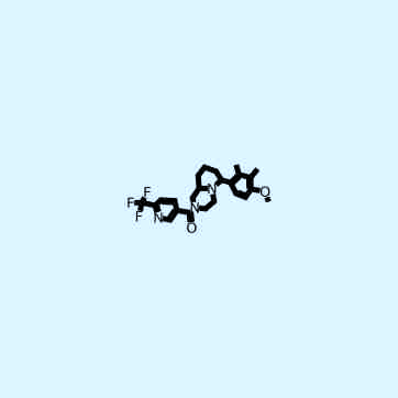 COc1ccc(C2CCCC3CN(C(=O)c4ccc(C(F)(F)F)nc4)CCN32)c(C)c1C